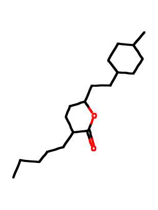 CCCCCC1CCC(CCC2CCC(C)CC2)OC1=O